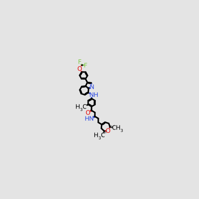 Cc1cc(Nc2ccccc3c(-c4ccc(OC(F)F)cc4)cnc2-3)ccc1C(=O)CC(=N)CCC1=CC[C@@H](C)O[C@@H](C)C1